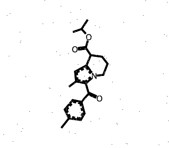 Cc1ccc(C(=O)c2c(C)cc3n2CCCC3C(=O)OC(C)C)cc1